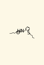 CCCCCOCCNCc1ccccc1SCCCCC